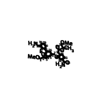 COCc1cc2cc(COc3cc(C(N)=O)ccc3CC(=O)OC(C)COC)cc(-c3cccc(CN)c3F)c2o1